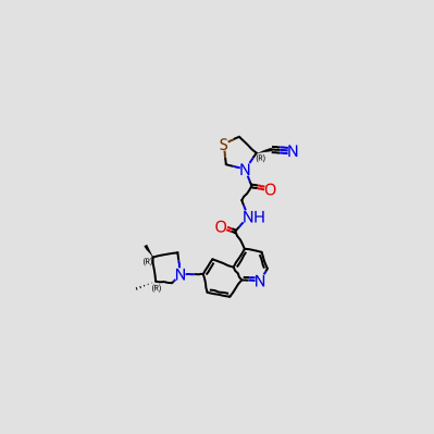 C[C@H]1CN(c2ccc3nccc(C(=O)NCC(=O)N4CSC[C@H]4C#N)c3c2)C[C@@H]1C